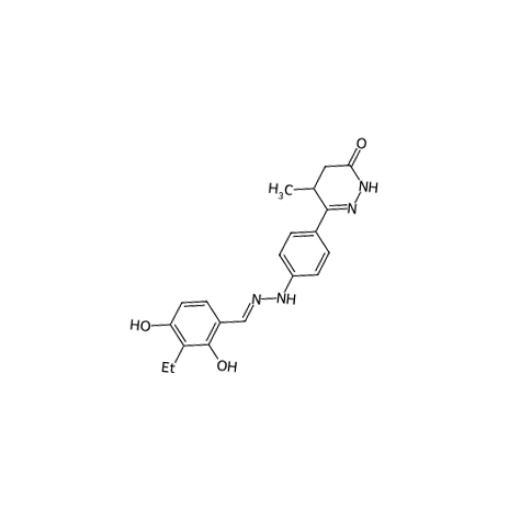 CCc1c(O)ccc(/C=N/Nc2ccc(C3=NNC(=O)CC3C)cc2)c1O